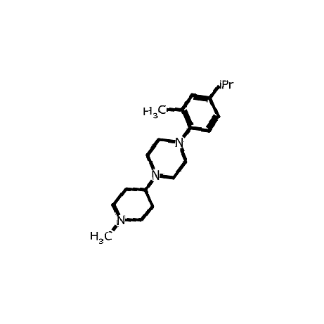 Cc1cc(C(C)C)ccc1N1CCN(C2CCN(C)CC2)CC1